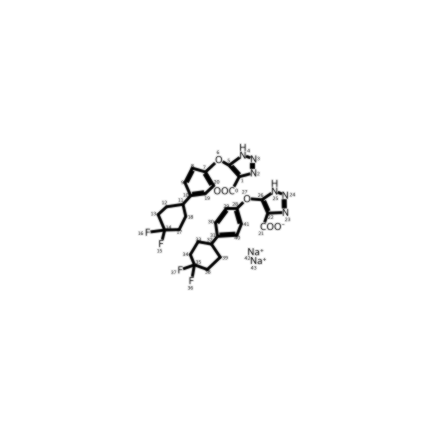 O=C([O-])c1nn[nH]c1Oc1ccc(C2CCC(F)(F)CC2)cc1.O=C([O-])c1nn[nH]c1Oc1ccc(C2CCC(F)(F)CC2)cc1.[Na+].[Na+]